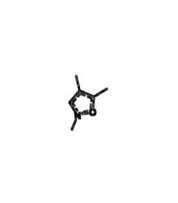 Cc1c[n+](C)oc1C